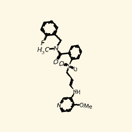 COc1ccncc1NC=CCS(=O)(=O)c1ccccc1C(=O)N(C)Cc1ccccc1F